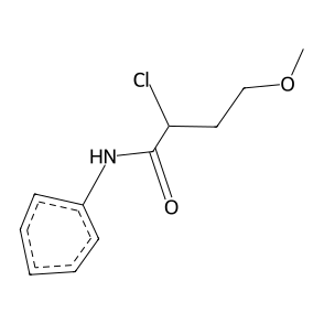 COCCC(Cl)C(=O)Nc1ccccc1